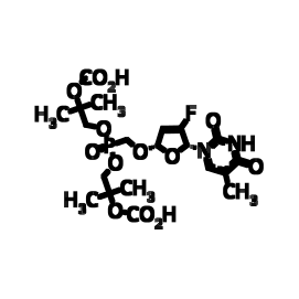 Cc1cn([C@@H]2O[C@H](OCP(=O)(OCC(C)(C)OC(=O)O)OCC(C)(C)OC(=O)O)C=C2F)c(=O)[nH]c1=O